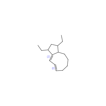 CCC1CC(CC)C2CCCC/C=C/C=C/12